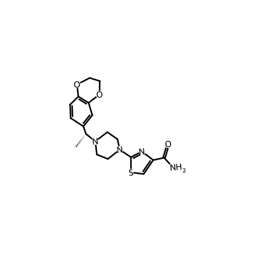 C[C@H](c1ccc2c(c1)OCCO2)N1CCN(c2nc(C(N)=O)cs2)CC1